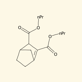 CCCOC(=O)C1=C2CCC(C2)C1C(=O)OCCC